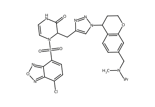 CC(C)N(C)Cc1ccc2c(c1)OCCC2n1cc(CC2C(=O)NC=CN2S(=O)(=O)c2ccc(Cl)c3nonc23)nn1